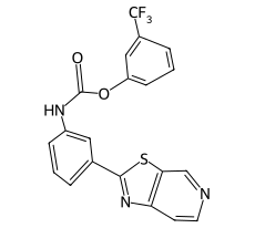 O=C(Nc1cccc(-c2nc3ccncc3s2)c1)Oc1cccc(C(F)(F)F)c1